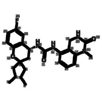 CCCC1(CCC)C[C@@H](NC(=O)Nc2cccc3c2CNC(=O)N3C)c2cc(F)ccc2O1